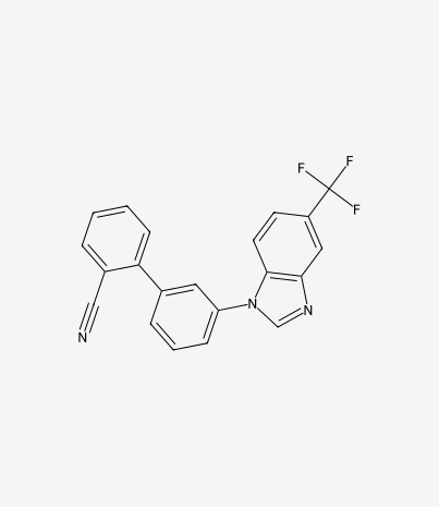 N#Cc1ccccc1-c1cccc(-n2cnc3cc(C(F)(F)F)ccc32)c1